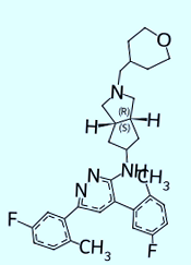 Cc1ccc(F)cc1-c1cc(-c2cc(F)ccc2C)c(NC2C[C@@H]3CN(CC4CCOCC4)C[C@@H]3C2)nn1